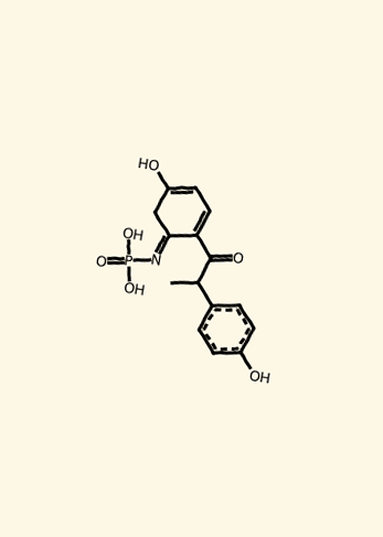 CC(C(=O)C1=CC=C(O)CC1=NP(=O)(O)O)c1ccc(O)cc1